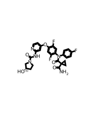 NC(=O)C1(C(=O)N(c2ccc(F)cc2)c2cc(F)c(Oc3ccnc(NC(=O)N4CC[C@H](O)C4)c3)cc2F)CC1